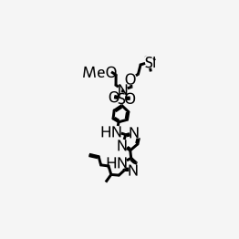 C=CCCC(C)Cc1ncc(-c2ccnc(Nc3ccc(S(=O)(=O)N(CCOC)COCC[Si](C)(C)C)cc3)n2)[nH]1